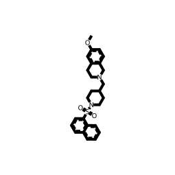 COc1ccc2c(c1)CCN(CC1CCN(S(=O)(=O)c3cccc4ccccc34)CC1)C2